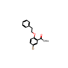 COC(=O)c1cc(Br)ccc1OCCc1ccccc1